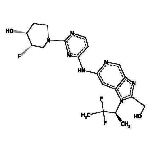 C[C@H](n1c(CO)nc2cnc(Nc3ccnc(N4CC[C@@H](O)[C@@H](F)C4)n3)cc21)C(C)(F)F